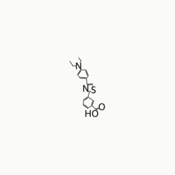 CCN(CC)c1ccc(-c2csc(-c3cccc(C(=O)O)c3)n2)cc1